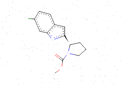 C[C@H]1C[C@H](c2cc3ccc(Br)cc3[nH]2)N(C(=O)OC(C)(C)C)C1